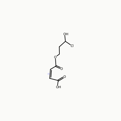 O=C(O)/C=C\C(=O)OCCC(O)Cl